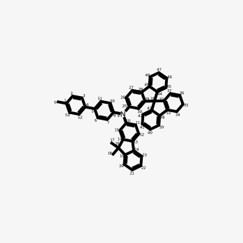 Cc1ccc(-c2ccc(N(c3ccc4c(c3)C(C)(C)c3ccccc3-4)c3ccc4c(c3)C3(C5=C(CCC=C5)c5ccccc53)c3ccccc3-4)cc2)cc1